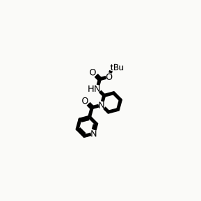 CC(C)(C)OC(=O)NC1CCCCN1C(=O)c1cccnc1